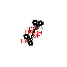 CC(C)(CC[C@@H](O)[C@@H](O)[C@H](O)[C@H](O)CO[Si](c1ccccc1)(c1ccccc1)C(C)(C)C)[Si](O)(c1ccccc1)c1ccccc1